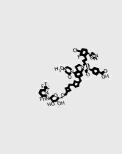 CN1CCN(c2cc(CC3CCC(CC4CC(COC[C@H]5OC[C@H](Nc6nc(C(F)(F)F)ccc6F)[C@@H](O)[C@H]5O)C4)C3)cc3c2CCN(C(=O)/C=C/c2c(-n4cnnn4)ccc(Cl)c2F)[C@@H]3C(=O)Nc2ccc(C(=O)O)cc2)C(=O)C1